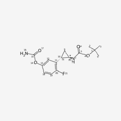 CC(C)(C)OC(=O)N[C@@H]1C[C@H]1c1cc(OC(N)=O)ccc1F